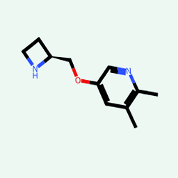 Cc1cc(OC[C@@H]2CCN2)cnc1C